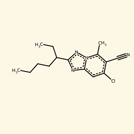 CCCCC(CC)c1nc2cc(Cl)c(C#N)c(C)n2n1